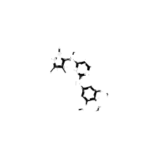 COc1cc(Nc2nccc(N(C)c3c(C)c(C)nn3C)n2)cc(OC)c1OC